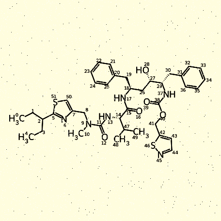 CCC(CC)c1nc(CN(C)C(=O)N[C@H](C(=O)N[C@@H](Cc2ccccc2)C[C@H](O)[C@H](Cc2ccccc2)NC(=O)OCc2ccns2)C(C)C)cs1